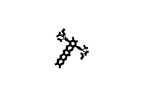 C=CC[Si](C#Cc1c(C)c(C)c(C#C[Si](CC=C)(C(C)C)C(C)C)c2cc3cc4cc5cc(C)c(C)cc5cc4cc3cc12)(C(C)C)C(C)C